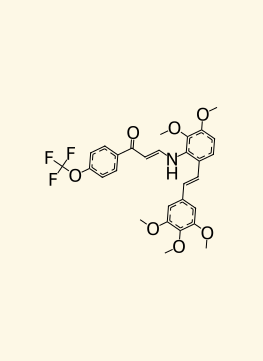 COc1cc(C=Cc2ccc(OC)c(OC)c2NC=CC(=O)c2ccc(OC(F)(F)F)cc2)cc(OC)c1OC